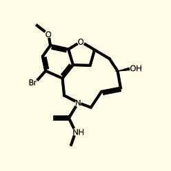 C=C(NC)N1C/C=C/[C@H](O)CC2Cc3c(c(Br)cc(OC)c3O2)C1